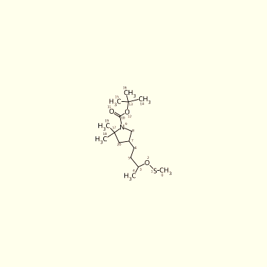 CSOC(C)CCC1CN(C(=O)OC(C)(C)C)C(C)(C)C1